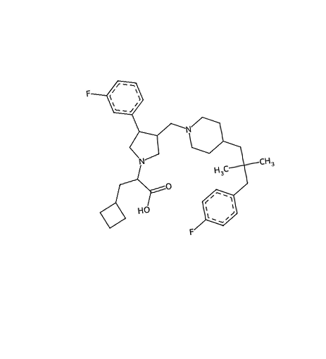 CC(C)(Cc1ccc(F)cc1)CC1CCN(CC2CN(C(CC3CCC3)C(=O)O)CC2c2cccc(F)c2)CC1